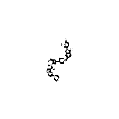 O=C1CCC(N2Cc3cc(CN4CCC(n5cc(NC(=O)c6cnn7c6N=C(N6CCOCC6)CC7)c(C(F)F)n5)CC4)ccc3C2=O)C(=O)N1